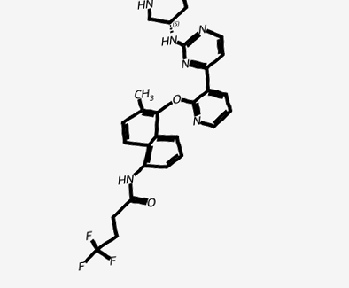 Cc1ccc2c(NC(=O)CCC(F)(F)F)cccc2c1Oc1ncccc1-c1ccnc(N[C@H]2CCCNC2)n1